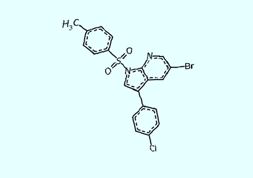 Cc1ccc(S(=O)(=O)n2cc(-c3ccc(Cl)cc3)c3cc(Br)cnc32)cc1